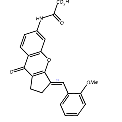 COc1ccccc1/C=C1\CCc2c1oc1cc(NC(=O)C(=O)O)ccc1c2=O